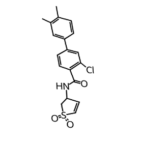 Cc1ccc(-c2ccc(C(=O)NC3C=CS(=O)(=O)C3)c(Cl)c2)cc1C